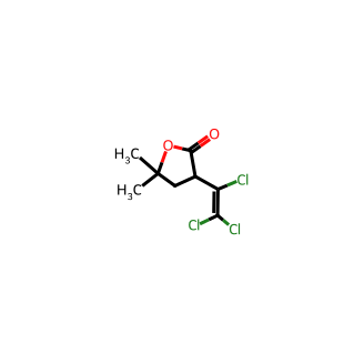 CC1(C)CC(C(Cl)=C(Cl)Cl)C(=O)O1